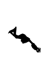 C#CC#CC1[CH]C1